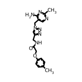 Cc1ccc(OCC(=O)NCc2cn(Cc3cnc(C)nc3N)nn2)cc1